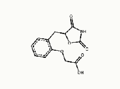 O=C(O)COc1ccccc1CC1OC(=O)NC1=O